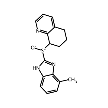 Cc1cccc2[nH]c([S+]([O-])C3CCCc4cccnc43)nc12